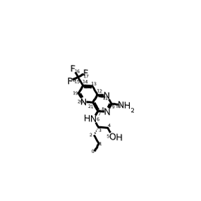 CCC[C@@H](CO)Nc1nc(N)nc2cc(C(F)(F)F)cnc12